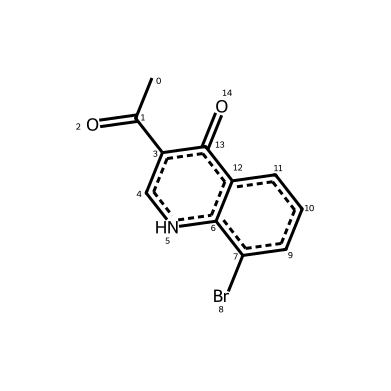 CC(=O)c1c[nH]c2c(Br)cccc2c1=O